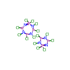 ClN1P(Cl)N=P(Cl)(Cl)N(Cl)P(Cl)N(Cl)P1Cl.ClN1P(Cl)N=P(Cl)(Cl)N(Cl)P1Cl